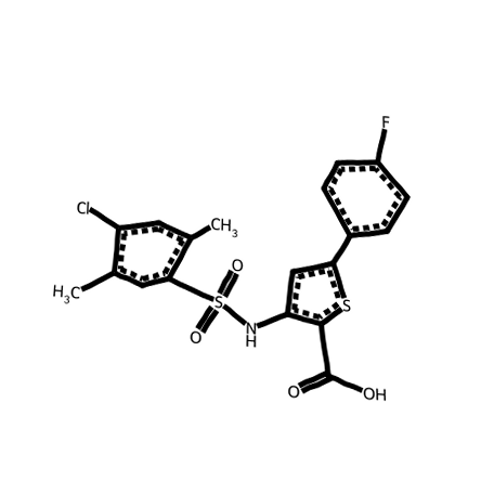 Cc1cc(S(=O)(=O)Nc2cc(-c3ccc(F)cc3)sc2C(=O)O)c(C)cc1Cl